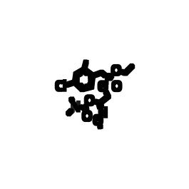 CCOP(=O)(Cc1ccc(Cl)cc1C)OCC(=NOC)OC(=O)N(C)C